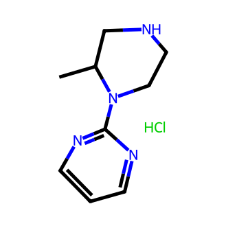 CC1CNCCN1c1ncccn1.Cl